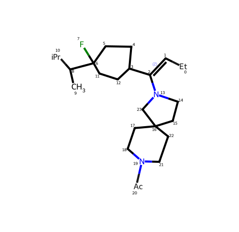 CC/C=C(/C1CCC(F)(C(C)C(C)C)CC1)N1CCC2(CCN(C(C)=O)CC2)C1